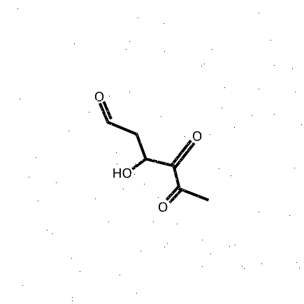 CC(=O)C(=O)C(O)CC=O